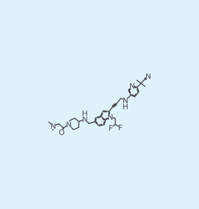 CN(C)CC(=O)N1CCC(NCc2ccc3c(c2)cc(C#CCNc2ccc(C(C)(C)C#N)nc2)n3CC(F)F)CC1